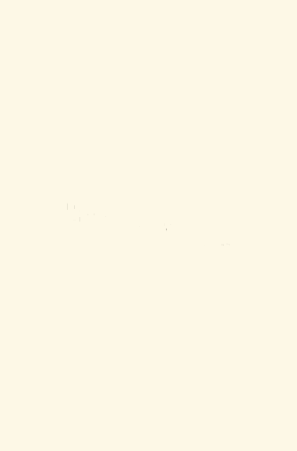 CCCCCCCCCCCCCCCCOC(=O)CCCOCCOCCOCCOCC(CC)CCCC